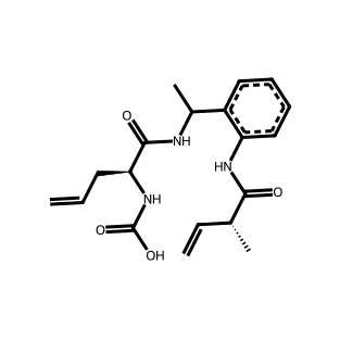 C=CC[C@H](NC(=O)O)C(=O)NC(C)c1ccccc1NC(=O)[C@H](C)C=C